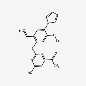 C=Cc1cc(-n2cccc2)c(OC)cc1Sc1nc(O)cc(C(C)=O)n1